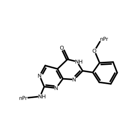 CCCNc1ncc2c(=O)[nH]c(-c3ccccc3OCCC)nc2n1